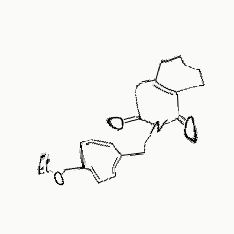 CCOc1ccc(CN2C(=O)CC3=C(CCCC3)C2=O)cc1